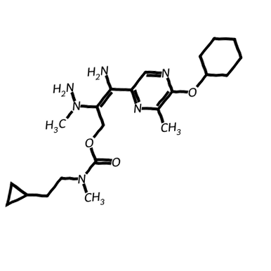 Cc1nc(/C(N)=C(\COC(=O)N(C)CCC2CC2)N(C)N)cnc1OC1CCCCC1